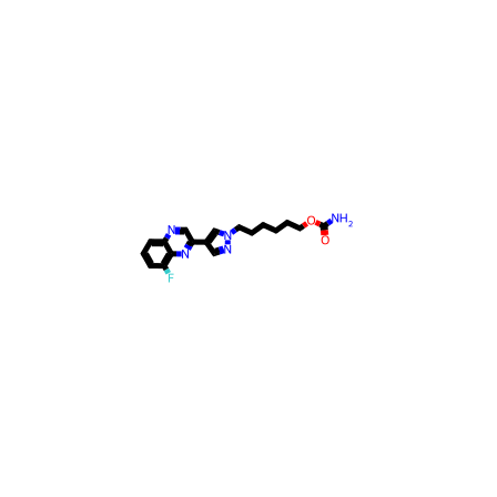 NC(=O)OCCCCCCn1cc(-c2cnc3cccc(F)c3n2)cn1